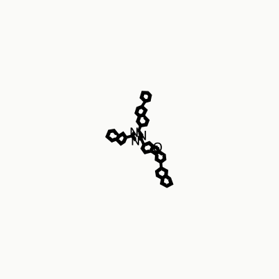 c1ccc(-c2ccc3cc(-c4nc(-c5ccc6ccccc6c5)nc(-c5ccc6c(c5)oc5ccc(-c7ccc8ccccc8c7)cc56)n4)ccc3c2)cc1